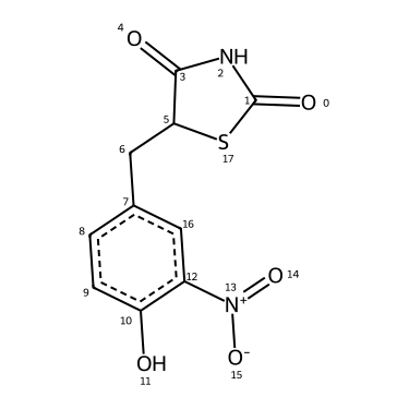 O=C1NC(=O)C(Cc2ccc(O)c([N+](=O)[O-])c2)S1